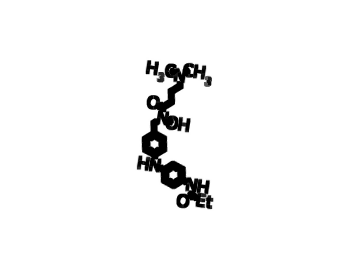 CCC(=O)Nc1ccc(Nc2ccc(CN(O)C(=O)CCCN(C)C)cc2)cc1